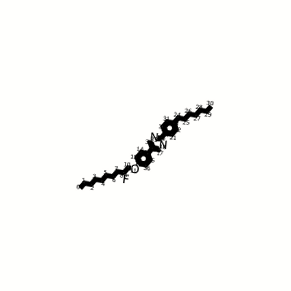 CCCCCCCCC(F)COc1ccc(-c2cnc(-c3ccc(CCCCCCC)cc3)nc2)cc1